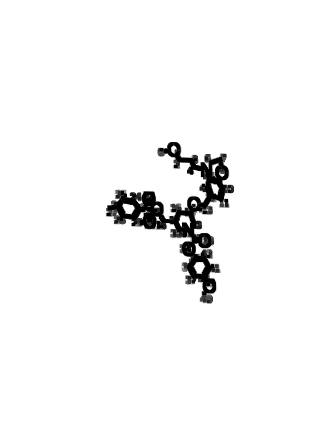 COCCCN1CCOc2ccc(CO[C@@H]3C[C@H](COS(=O)(=O)c4ccc(C)cc4)CN(C(=O)Oc4ccc(OC)cc4)C3)cc21